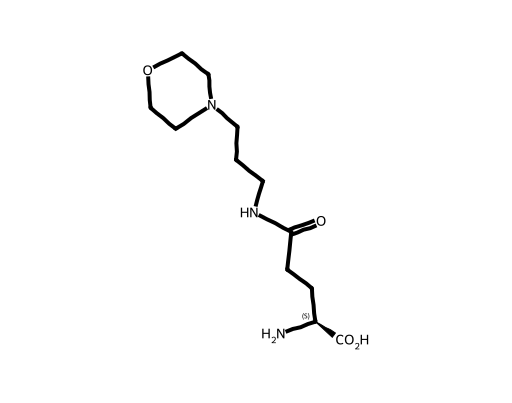 N[C@@H](CCC(=O)NCCCN1CCOCC1)C(=O)O